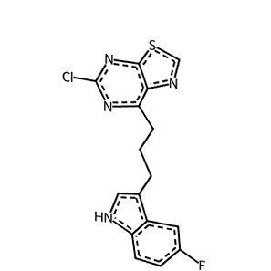 Fc1ccc2[nH]cc(CCCc3nc(Cl)nc4scnc34)c2c1